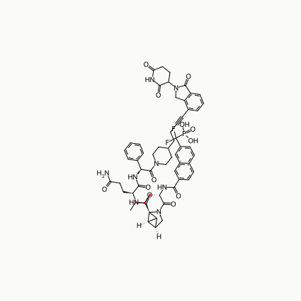 CCCC[C@H](NC(=O)c1ccc2ccc(C(F)(F)P(=O)(O)O)cc2c1)C(=O)N1C[C@@H]2C3[C@@H]2[C@@]31C(=O)N[C@@H](CCC(N)=O)C(=O)N[C@H](C(=O)N1CCC(CCC#Cc2cccc3c2CN(C2CCC(=O)NC2=O)C3=O)CC1)c1ccccc1